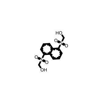 O=S(=O)(CO)c1cccc2c(S(=O)(=O)CO)cccc12